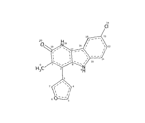 Cc1c(-c2ccoc2)c2[nH]c3ccc(Cl)cc3c2[nH]c1=O